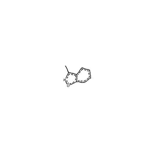 Cc1noc2c[c]ccc12